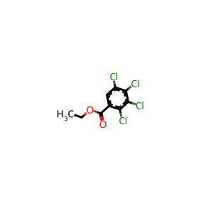 CCOC(=O)c1cc(Cl)c(Cl)c(Cl)c1Cl